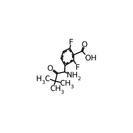 CC(C)(C)C(=O)C(N)c1ccc(F)c(C(=O)O)c1F